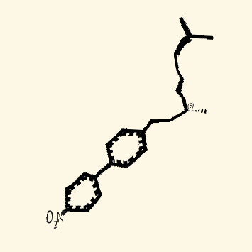 CC(C)=CCC[C@H](C)CCc1ccc(-c2ccc([N+](=O)[O-])cc2)cc1